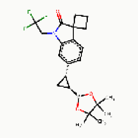 CC1(C)OB([C@H]2C[C@@H]2c2ccc3c(c2)N(CC(F)(F)F)C(=O)C32CCC2)OC1(C)C